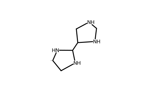 [CH]1CNC(C2CNCN2)N1